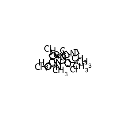 CCOc1cc(C(C)(C)C)c(Cl)cc1C1=NC(C)(c2ccc(Cl)cc2)C(C)(c2ccc(Cl)cc2)N1C(=O)N1CCC(N2CCCC2)CC1